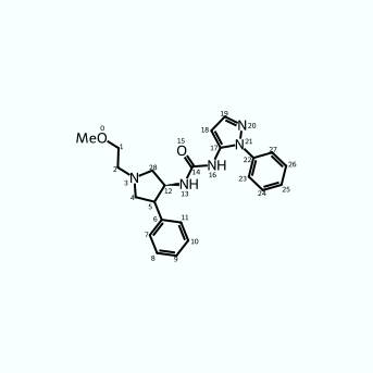 COCCN1CC(c2ccccc2)[C@H](NC(=O)Nc2ccnn2-c2ccccc2)C1